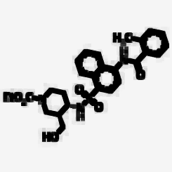 CCOC(=O)N1CC[C@H](NS(=O)(=O)c2ccc(NC(=O)c3ccccc3C)c3ccccc23)[C@@H](CO)C1